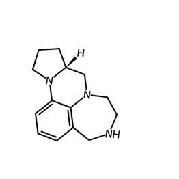 c1cc2c3c(c1)N1CCC[C@@H]1CN3CCNC2